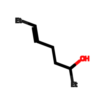 CCC=CCCC(O)CC